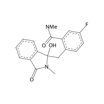 CNC(=O)c1cc(F)ccc1CC1(O)c2ccccc2C(=O)N1C